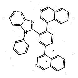 c1ccc(-n2c(-c3cc(-c4cncc5ccccc45)ccc3-c3cncc4ccccc34)nc3ccccc32)cc1